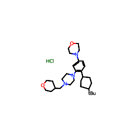 CC(C)(C)C1CCC(c2ccc(N3CCOCC3)cc2N2CCN(CC3CCOCC3)CC2)CC1.Cl